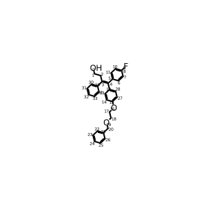 OCC/C(=C(\c1ccc(F)cc1)c1ccc(OCCOCc2ccccc2)cc1)c1ccccc1